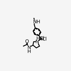 CNCc1ccc(CN2CCC(NC(C)=O)C2)cc1.Cl.Cl